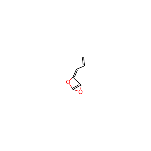 C=CC=C1OC2=C1O2